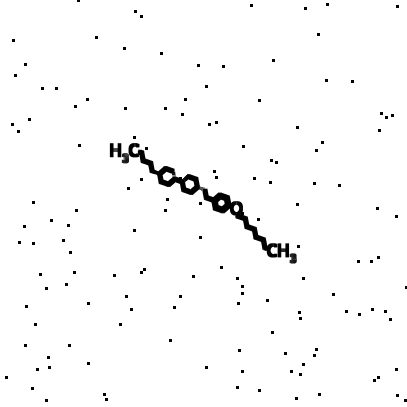 CCCCCCCCOc1ccc(CC[C@H]2CC[C@H]([C@H]3CC[C@H](CCCCC)CC3)CC2)cc1